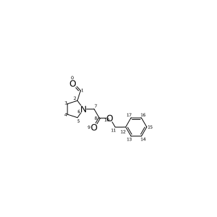 O=CC1CCCN1CC(=O)OCc1ccccc1